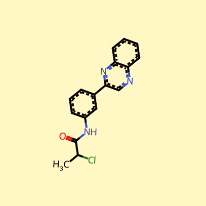 CC(Cl)C(=O)Nc1cccc(-c2cnc3ccccc3n2)c1